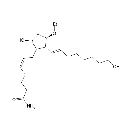 CCO[C@@H]1C[C@H](O)C(C/C=C\CCCC(N)=O)[C@H]1/C=C/CCCCCCO